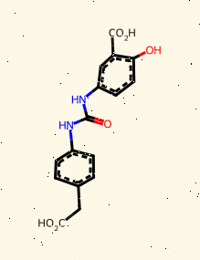 O=C(O)Cc1ccc(NC(=O)Nc2ccc(O)c(C(=O)O)c2)cc1